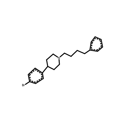 Brc1ccc(C2CCN(CCCCc3ccccc3)CC2)cc1